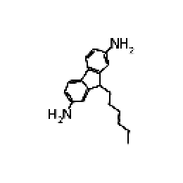 CCCCCCC1c2cc(N)ccc2-c2ccc(N)cc21